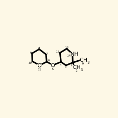 CC1(C)CC(OC2CCCCO2)CCN1